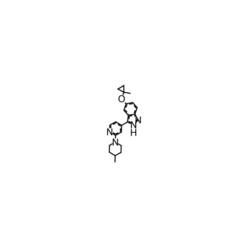 CC1CCN(c2cc(-c3[nH]nc4ccc(OC5(C)CC5)cc34)ccn2)CC1